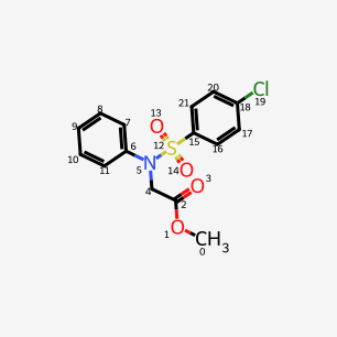 COC(=O)CN(c1ccccc1)S(=O)(=O)c1ccc(Cl)cc1